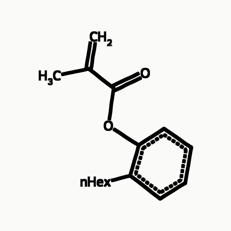 C=C(C)C(=O)Oc1ccccc1CCCCCC